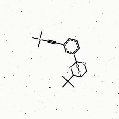 CC(C)(C)C1OC2(c3cccc(C#C[Si](C)(C)C)c3)OCC1CO2